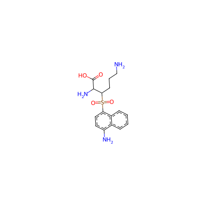 NCCCC(C(N)C(=O)O)S(=O)(=O)c1ccc(N)c2ccccc12